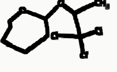 CC(OC1CCCCO1)C(Cl)(Cl)Cl